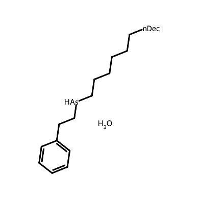 CCCCCCCCCCCCCCCC[AsH]CCc1ccccc1.O